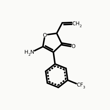 C=CC1OC(N)=C(c2cccc(C(F)(F)F)c2)C1=O